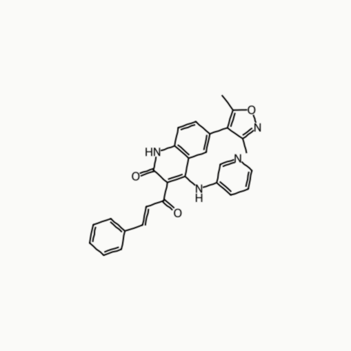 Cc1noc(C)c1-c1ccc2[nH]c(=O)c(C(=O)C=Cc3ccccc3)c(Nc3cccnc3)c2c1